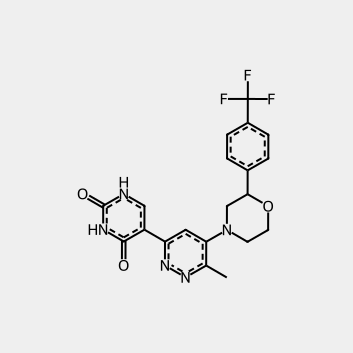 Cc1nnc(-c2c[nH]c(=O)[nH]c2=O)cc1N1CCOC(c2ccc(C(F)(F)F)cc2)C1